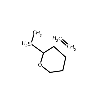 C=C.C[SiH2]C1CCCCO1